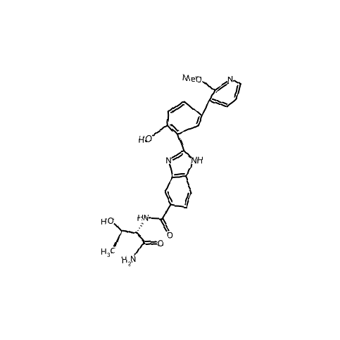 COc1ncccc1-c1ccc(O)c(-c2nc3cc(C(=O)N[C@H](C(N)=O)[C@@H](C)O)ccc3[nH]2)c1